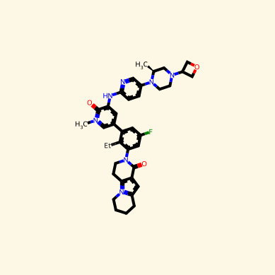 CCc1c(-c2cc(Nc3ccc(N4CCN(C5COC5)C[C@@H]4C)cn3)c(=O)n(C)c2)cc(F)cc1N1CCc2c(cc3n2CCCC3)C1=O